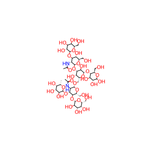 CC(=O)N[C@H]1[C@H](OC[C@H]2O[C@@H](O[C@H]3[C@H](O)[C@@H](O)C(O)O[C@@H]3CO)[C@H](O)[C@@H](O[C@@H]3O[C@H](CO)[C@@H](O)[C@H](O[C@@H]4O[C@H](CO)[C@H](O)[C@H](O)[C@H]4O)[C@H]3NC(C)=O)[C@H]2O)O[C@H](CO)[C@@H](O[C@@H]2O[C@H](CO)[C@H](O)[C@H](O)[C@H]2O)[C@@H]1O[C@@H]1O[C@@H](C)[C@@H](O)[C@@H](O)[C@@H]1O